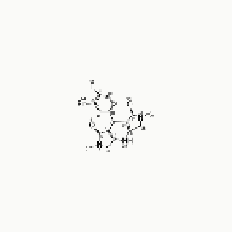 CN1CC2=C(C1=O)C(c1ccc(F)c(Br)c1)C1=C(CN(C)C1=O)N2